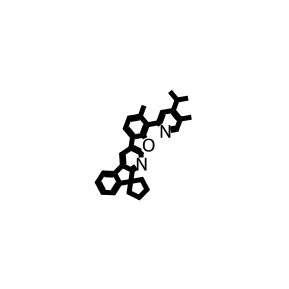 Cc1cnc(-c2c(C)ccc3c2oc2nc4c(cc23)-c2ccccc2C42CCCC2)cc1C(C)C